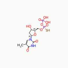 Cc1cn([C@H]2CC(O)[C@@H](COP(=O)(S)OP(=O)(O)O)O2)c(=O)[nH]c1=O